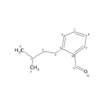 CC(C)CCc1ccccc1C=O